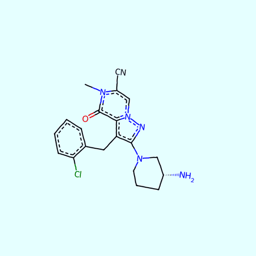 Cn1c(C#N)cn2nc(N3CCC[C@@H](N)C3)c(Cc3ccccc3Cl)c2c1=O